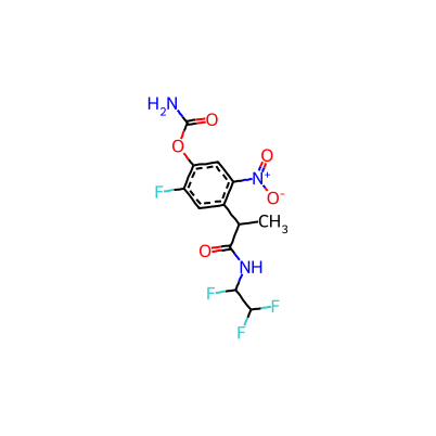 CC(C(=O)NC(F)C(F)F)c1cc(F)c(OC(N)=O)cc1[N+](=O)[O-]